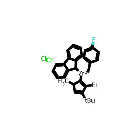 CCC1=[C](/[Zr+2](=[CH]/c2ccc(F)cc2)[CH]2c3ccccc3-c3ccccc32)C(C)C=C1C(C)(C)C.[Cl-].[Cl-]